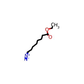 CCOC(=O)CCCCCCC=[N+]=[N-]